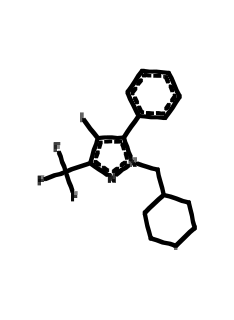 FC(F)(F)c1nn(CC2CC[CH]CC2)c(-c2ccccc2)c1I